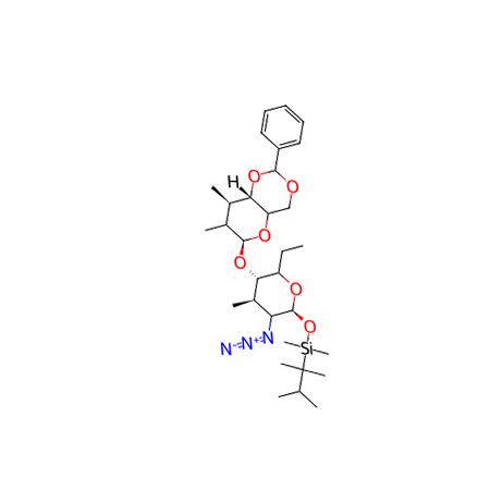 CCC1O[C@@H](O[Si](C)(C)C(C)(C)C(C)C)C(N=[N+]=[N-])[C@@H](C)[C@@H]1O[C@@H]1OC2COC(c3ccccc3)O[C@H]2[C@H](C)C1C